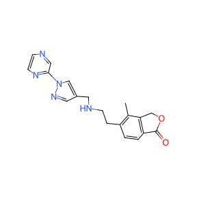 Cc1c(CCNCc2cnn(-c3cnccn3)c2)ccc2c1COC2=O